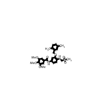 COc1cc(C(=O)Nc2ccc(NCS(C)(=O)=O)c(OCc3cc(C)ccc3C)c2)cc(OC)c1OC